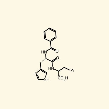 CC(C)C[C@H](NC(=O)[C@H](Cc1c[nH]cn1)NC(=O)c1ccccc1)C(=O)O